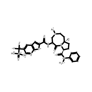 CC(=O)N1CC[C@H]2CC[C@@H](C(=O)N(C)c3ccccc3)N2C(=O)C(NC(=O)c2cc3cc(C(F)(F)P(=O)(O)O)cnc3s2)C1